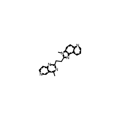 Cc1nc(CCc2nc3c4cccnc4ccc3n2C)nc2ccncc12